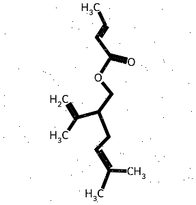 C=C(C)C(CC=C(C)C)COC(=O)/C=C/C